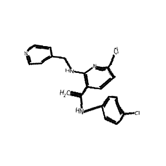 C=C(Nc1ccc(Cl)cc1)c1ccc(Cl)nc1NCc1ccncc1